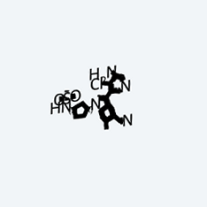 Cc1cc2c(cc1C#N)c(-c1cncc(N)c1Cl)cn2[C@@H]1CC[C@H](NS(C)(=O)=O)C1